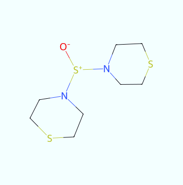 [O-][S+](N1CCSCC1)N1CCSCC1